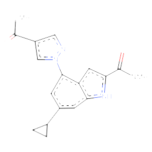 CNC(=O)c1cc2c(-n3cc(C(=O)OC)cn3)cc(C3CC3)cc2[nH]1